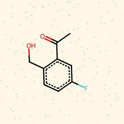 CC(=O)c1cc(F)ccc1CO